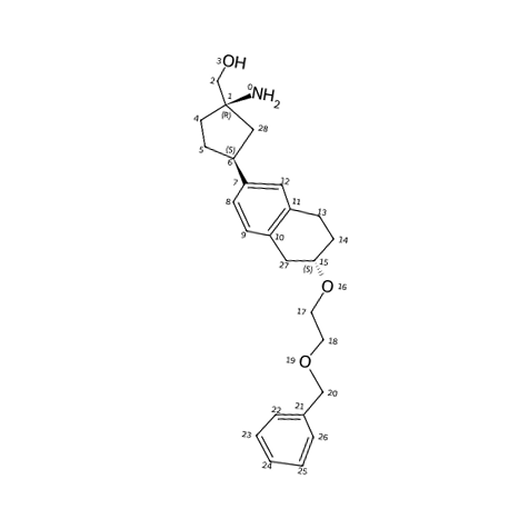 N[C@]1(CO)CC[C@H](c2ccc3c(c2)CC[C@H](OCCOCc2ccccc2)C3)C1